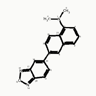 CN(C)c1cccc2[c]c(-c3ccc4nonc4c3)ccc12